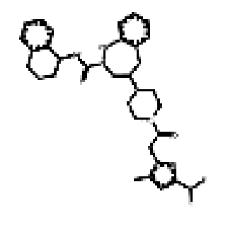 Cc1cc(C(F)F)nn1CC(=O)N1CCC(C2Cc3ccccc3NN(C(=O)NC3CCCc4ccccc43)C2)CC1